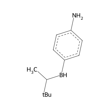 CC(Bc1ccc(N)cc1)C(C)(C)C